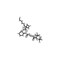 CCCCCCC1(C(=O)N[C@H]2CCCC[C@@H]2OC(=O)CCNC(=O)C2OC(C)(C)OCC2(C)C)CCC1